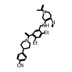 C=NC1=C(NCc2cc(C(=C)N3CCC(c4ccc(C#N)cc4)CC3)c(CC)cc2CC)CN(C(=C)C)CC1